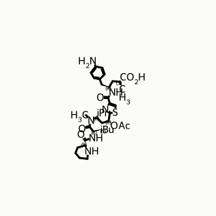 CC[C@H](C)[C@H](NC(=O)[C@H]1CCCCN1)C(=O)N(C)[C@H](C[C@@H](OC(C)=O)c1nc(C(=O)N[C@@H](Cc2ccc(N)cc2)C[C@H](C)C(=O)O)cs1)C(C)C